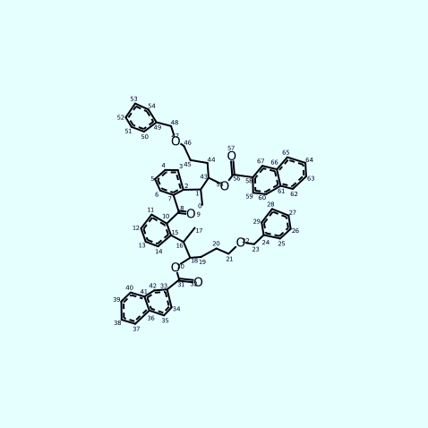 CC(c1ccccc1C(=O)c1ccccc1C(C)C(CCCOCc1ccccc1)OC(=O)c1ccc2ccccc2c1)C(CCCOCc1ccccc1)OC(=O)c1ccc2ccccc2c1